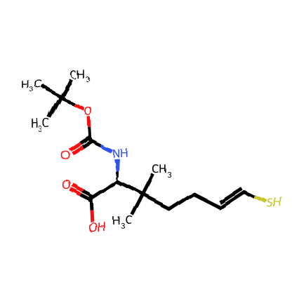 CC(C)(C)OC(=O)N[C@H](C(=O)O)C(C)(C)CCC=CS